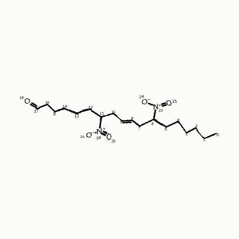 CCCCCCC(CC=CCC(CCCCC[C]=O)[N+](=O)[O-])[N+](=O)[O-]